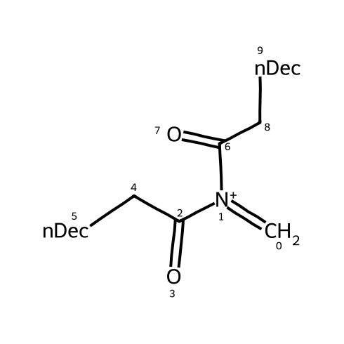 C=[N+](C(=O)CCCCCCCCCCC)C(=O)CCCCCCCCCCC